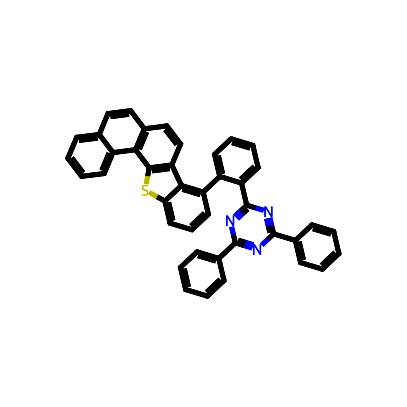 c1ccc(-c2nc(-c3ccccc3)nc(-c3ccccc3-c3cccc4sc5c(ccc6ccc7ccccc7c65)c34)n2)cc1